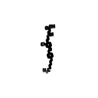 CCCCCCc1ccc(COc2ccc(/C=C/CNCCC(=O)O)c(Cl)c2)cc1